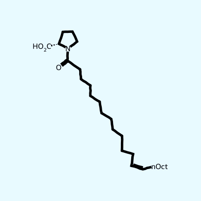 CCCCCCCC/C=C\CCCCCCCCCCCC(=O)N1CCC[C@H]1C(=O)O